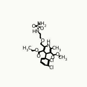 CCOC(=O)C1=C(COCCNS(N)(=O)=O)NC(C)=C(C(=O)OC)C1c1cccc(Cl)c1Cl